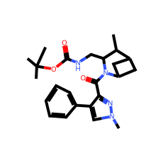 CC1C2CC(C2)N(C(=O)c2nn(C)cc2-c2ccccc2)C1CNC(=O)OC(C)(C)C